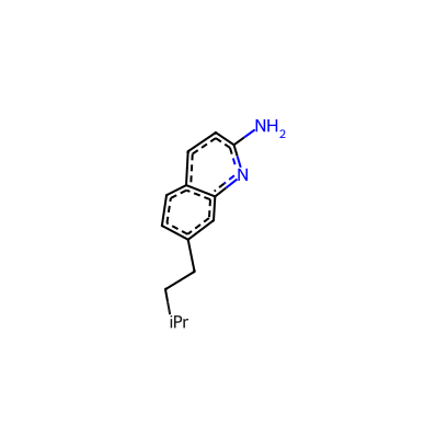 CC(C)CCc1ccc2ccc(N)nc2c1